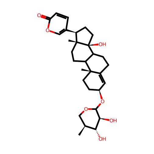 C[C@H]1COC(O[C@@H]2C=C3CCC4C(CC[C@]5(C)[C@@H](c6ccc(=O)oc6)CC[C@]45O)[C@@]3(C)CC2)[C@@H](O)[C@@H]1O